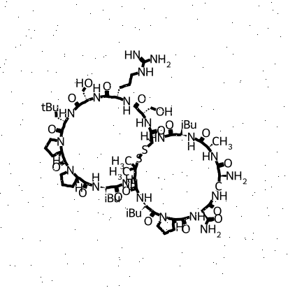 CC[C@H](C)[C@@H]1NC(=O)[C@H](C)NC(=O)[C@@H](N)CNC(=O)[C@@H](C(N)=O)NC(=O)[C@@H]2CCCN2C(=O)[C@H]([C@@H](C)CC)NC(=O)[C@H]2NC(=O)[C@H]([C@@H](C)CC)NC(=O)[C@@H]3CCCN3C(=O)[C@@H]3CCCN3C(=O)[C@H](CC(C)(C)C)NC(=O)[C@H](CO)NC(=O)[C@H](CCCNC(=N)N)NC(=O)[C@H](CO)NC(=O)[C@@H](NC1=O)SSC2(C)C